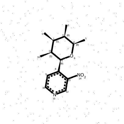 C[C@H]1[C@@H](C)[C@@H](C)O[C@@H](c2ccncc2[N+](=O)[O-])[C@H]1C